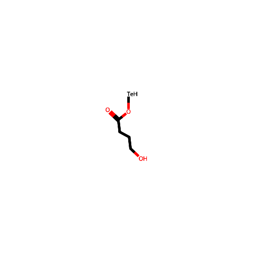 O=C(CCCO)O[TeH]